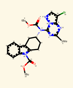 CSc1nc(N(C(=O)OC(C)(C)C)[C@@H]2CCc3c(c4ccccc4n3C(=O)OC(C)(C)C)C2)n2ncc(Br)c2n1